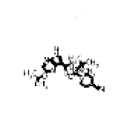 CC(C)Oc1cnc2[nH]cc(C(=O)N[C@@H](C(=O)N3CCC(C#N)CC3)C(C)(C)C)c2n1